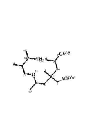 COCC(C)(CC(C)OC)CC(C)OCC(C)C(C)N